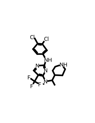 CC(C1CCNCC1)N(C)c1nc(Nc2ccc(Cl)c(Cl)c2)ncc1C(F)(F)F